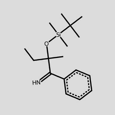 CCC(C)(O[Si](C)(C)C(C)(C)C)C(=N)c1ccccc1